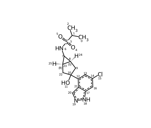 CC(C)S(=O)(=O)NC1[C@H]2CC(O)(c3cc(Cl)cc4[nH]ncc34)C[C@@H]12